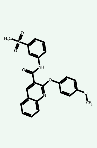 CS(=O)(=O)c1cccc(NC(=O)c2cc3ccccc3nc2Oc2ccc(OC(F)(F)F)cc2)c1